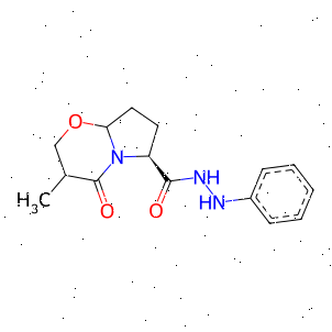 CC1COC2CC[C@@H](C(=O)NNc3ccccc3)N2C1=O